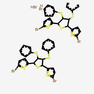 Br.Br.Brc1ccc(C2SC(c3ccc(Br)s3)C(Sc3ccccc3)C2Sc2ccccc2)s1.Brc1ccc(C2SC(c3ccc(Br)s3)C(Sc3ccccc3)C2Sc2ccccc2)s1